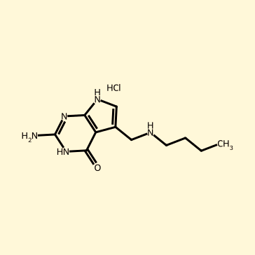 CCCCNCc1c[nH]c2nc(N)[nH]c(=O)c12.Cl